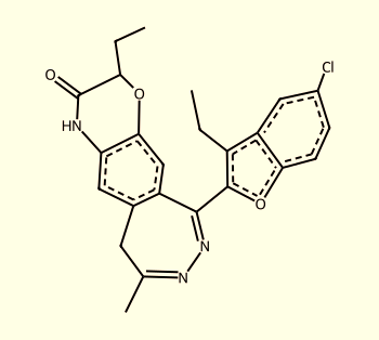 CCc1c(C2=NN=C(C)Cc3cc4c(cc32)OC(CC)C(=O)N4)oc2ccc(Cl)cc12